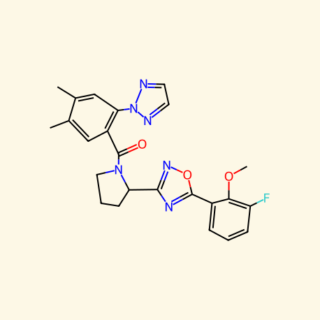 COc1c(F)cccc1-c1nc(C2CCCN2C(=O)c2cc(C)c(C)cc2-n2nccn2)no1